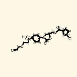 CN(CCOCC=O)c1ccc(N2CC(CNC(=O)c3ccc(Cl)s3)OC2=O)cc1